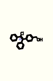 OCc1ccc(/C(=C(\Cl)c2ccccc2)c2ccccc2)cc1